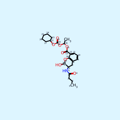 CCCC(=O)NC1Cc2cccc(C(=O)OC(C)OC(=O)OC3CCCCC3)c2OB1O